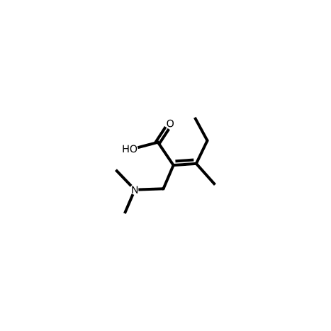 CCC(C)=C(CN(C)C)C(=O)O